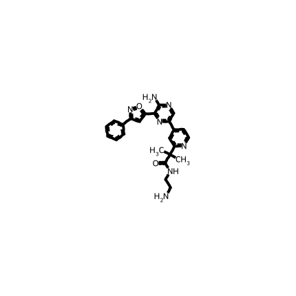 CC(C)(C(=O)NCCN)c1cc(-c2cnc(N)c(-c3cc(-c4ccccc4)no3)n2)ccn1